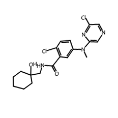 CN(c1ccc(Cl)c(C(=O)NCC2(O)CCCCC2)c1)c1cncc(Cl)n1